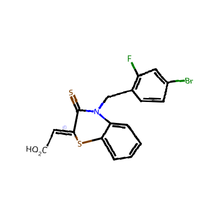 O=C(O)/C=C1\Sc2ccccc2N(Cc2ccc(Br)cc2F)C1=S